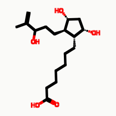 C=C(C)C(O)CC[C@@H]1[C@@H](CCCCCCC(=O)O)[C@@H](O)C[C@H]1O